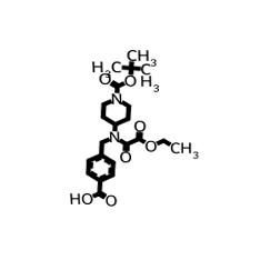 CCOC(=O)C(=O)N(Cc1ccc(C(=O)O)cc1)C1CCN(C(=O)OC(C)(C)C)CC1